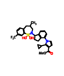 COC(=O)c1ccn(-c2cccc3c2CCC3N2CC(C)Cc3ccc(C(F)(F)F)cc3S2(O)O)c1C1CC1